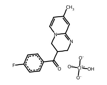 CC1=CC2=NCC(C(=O)c3ccc(F)cc3)CN2C=C1.[O-][Cl+3]([O-])([O-])O